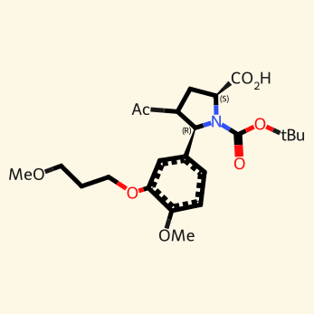 COCCCOc1cc([C@H]2C(C(C)=O)C[C@@H](C(=O)O)N2C(=O)OC(C)(C)C)ccc1OC